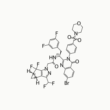 O=C(Cn1nc(C(F)F)c2c1C(F)(F)[C@H]1C[C@@H]21)N[C@@H](Cc1cc(F)cc(F)c1)c1nc2cc(Br)ccc2c(=O)n1-c1ccc(S(=O)(=O)N2CCOCC2)cc1